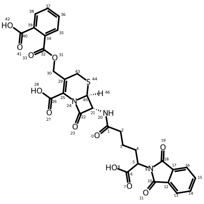 O=C(CCCC(C(=O)O)N1C(=O)c2ccccc2C1=O)N[C@@H]1C(=O)N2C(C(=O)O)=C(COC(=O)c3ccccc3C(=O)O)CS[C@@H]12